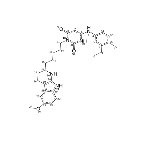 CCc1cc(Nc2cc(=O)n(CCCCCC3CCc4c([nH]c5ccc(OC)cc45)N3)c(=O)[nH]2)ccc1C